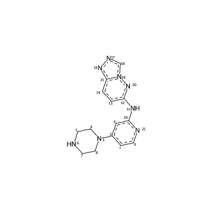 c1cc(N2CCNCC2)cc(Nc2ccc3nncn3n2)n1